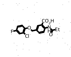 CCC(=O)Nc1ccc(COc2ccc(F)cc2Cl)cc1C(=O)O